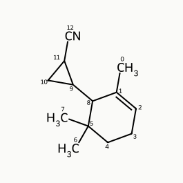 CC1=CCCC(C)(C)C1C1CC1C#N